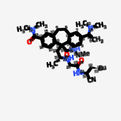 C=C(c1ccc2c(c1)CCc1cc(C(=O)N(C)C)ccc1C2(C[C@@H](C)NCC(=O)NC(C#N)C[C@@H](C)CC)C(=O)NNC)N(C)C